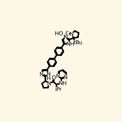 CC(C)C(Nc1ncccn1)C(=O)N1CCCC1c1ncc(-c2ccc(-c3ccc(-c4cnc(C5(C(C)(C)C)CCCN5C(=O)O)[nH]4)cc3)cc2)[nH]1